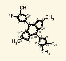 Cc1cc2c(-c3cc(F)c(C)s3)c3sc(C)cc3c(-c3cc(F)c(C)s3)c2s1